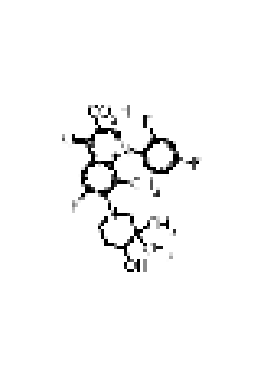 Cc1c(N2CCC(O)C(C)(C)C2)c(F)cc2c(=O)c(C(=O)O)cn(-c3ccc(F)cc3F)c12